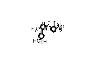 CC1(O)CCN(c2nc(Nc3cccc(S(=O)(=O)Cl)c3F)ncc2C(F)(F)F)CC1